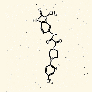 Cn1c(=O)[nH]c2ccc(NC(=O)C(=O)N3CCN(c4ccc(C(F)(F)F)cn4)CC3)cc21